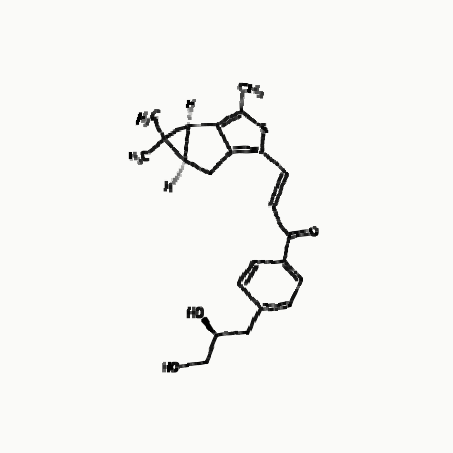 Cc1sc(C=CC(=O)c2ccc(C[C@H](O)CO)cc2)c2c1[C@H]1[C@@H](C2)C1(C)C